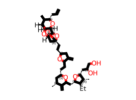 C=CC[C@@H]1O[C@H]2[C@H]3O[C@]4(CC[C@H]5CC(=C)C(CC[C@H]6C[C@@H](C)C(=C)C(C[C@@H]7O[C@H](C[C@H](O)CO)[C@H](C)[C@H]7CC)O6)O5)C[C@H]3O[C@H]2[C@@H](O4)C1C